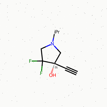 C#C[C@]1(O)CN(C(C)C)CC1(F)F